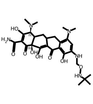 CN(C)c1cc(NCONC(C)(C)C)c(O)c2c1CC1CC3[C@H](N(C)C)C(O)=C(C(N)=O)C(=O)[C@@]3(O)C(O)=C1C2=O